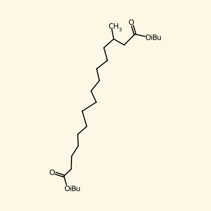 CC(C)COC(=O)CCCCCCCCCCCCC(C)CC(=O)OCC(C)C